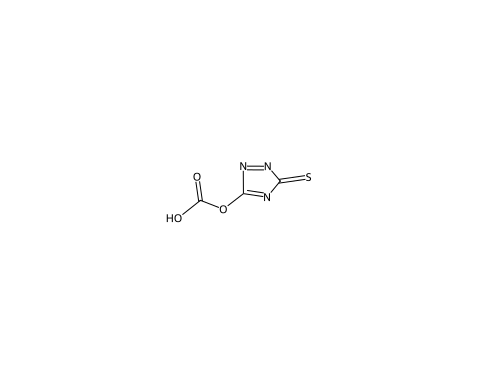 O=C(O)OC1=NC(=S)N=N1